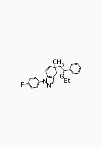 CCOC(CC1(C)C=Cc2c(cnn2-c2ccc(F)cc2)C1)c1ccccc1